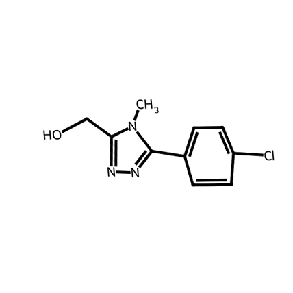 Cn1c(CO)nnc1-c1ccc(Cl)cc1